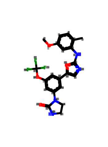 COc1ccc(C)c(Nc2ncc(-c3cc(OC(F)(F)F)cc(N4CCNC4=O)c3)o2)c1